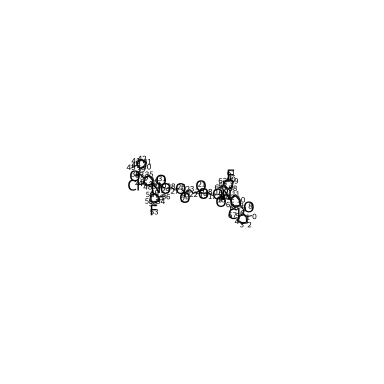 Cc1ccccc1C(=O)c1ccc(N(C(=O)OCCOC(=O)CCC(=O)OCCOC(=O)N(c2ccc(C(=O)c3ccccc3C)c(Cl)c2)c2ccc(F)cc2C)c2ccc(F)cc2C)cc1Cl